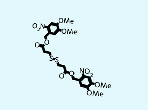 COc1cc(COC(=O)CCSSCCC(=O)OCc2cc(OC)c(OC)cc2[N+](=O)[O-])c([N+](=O)[O-])cc1OC